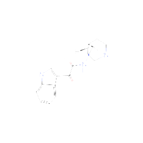 O=C(N[C@H]1CN2CCC1CC2)C(=O)c1c[nH]c2ccccc12